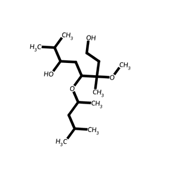 COC(C)(CCO)C(CC(O)C(C)C)OC(C)CC(C)C